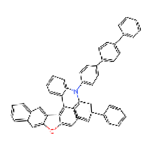 c1ccc(-c2ccc(-c3ccc(N(c4cccc(-c5ccccc5)c4)c4ccccc4-c4cccc5oc6cc7ccccc7cc6c45)cc3)cc2)cc1